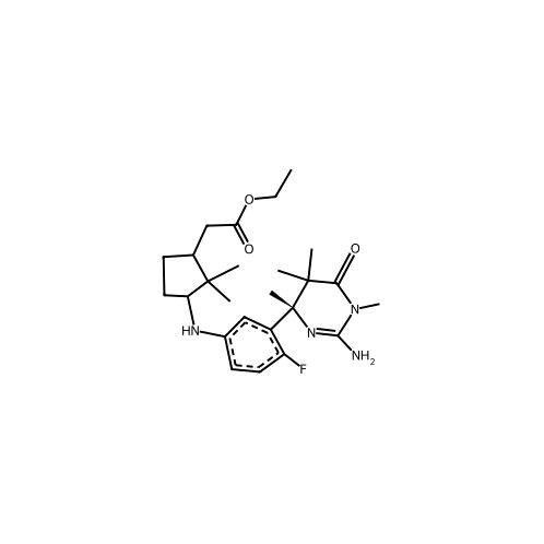 CCOC(=O)CC1CCC(Nc2ccc(F)c([C@@]3(C)N=C(N)N(C)C(=O)C3(C)C)c2)C1(C)C